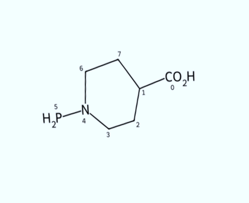 O=C(O)C1CCN(P)CC1